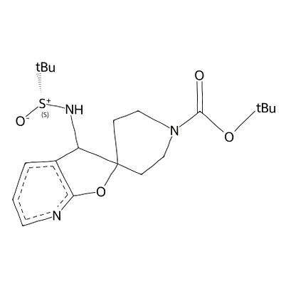 CC(C)(C)OC(=O)N1CCC2(CC1)Oc1ncccc1C2N[S@+]([O-])C(C)(C)C